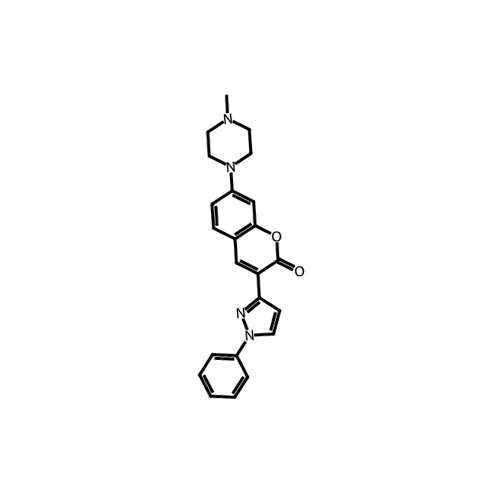 CN1CCN(c2ccc3cc(-c4ccn(-c5ccccc5)n4)c(=O)oc3c2)CC1